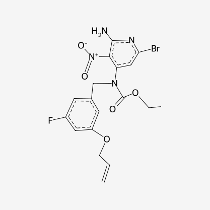 C=CCOc1cc(F)cc(CN(C(=O)OCC)c2cc(Br)nc(N)c2[N+](=O)[O-])c1